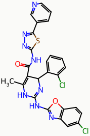 CC1=C(C(=O)Nc2nnc(-c3cccnc3)s2)C(c2ccccc2Cl)N=C(Nc2nc3cc(Cl)ccc3o2)N1